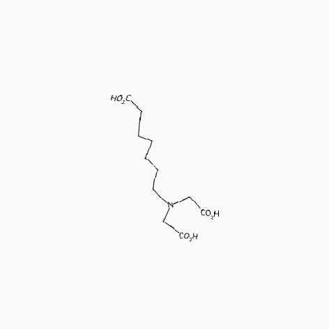 O=C(O)CCCCCCN(CC(=O)O)CC(=O)O